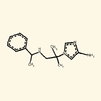 CC(NCC(C)(C)n1cnc(N)c1)c1ccccc1